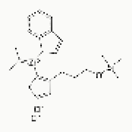 C[C](C)=[Zr+2]([C]1=C(CCCO[Si](C)(C)C)C=CC1)[CH]1C=Cc2ccccc21.[Cl-].[Cl-]